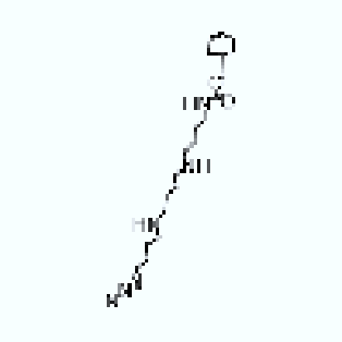 [N-]=[N+]=NCCCCNCCCCNCCCCNC(=O)OCc1ccccc1